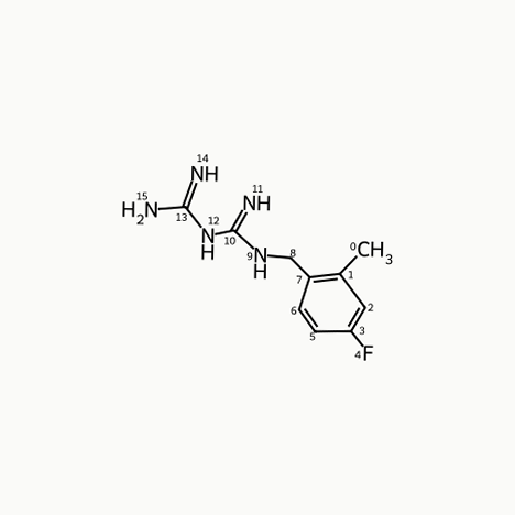 Cc1cc(F)ccc1CNC(=N)NC(=N)N